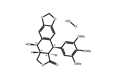 CCO.COc1cc([C@@H]2c3cc4c(cc3[C@H](O)[C@H]3COC(=O)[C@H]23)OCO4)cc(OC)c1OC